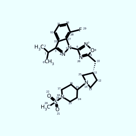 CC(C)c1nn(-c2noc(C[C@@H]3CCN(C4CCN(S(C)(=O)=O)CC4)C3)n2)c2c(F)cccc12